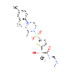 CC1CN(c2ccc(C#N)cc2C(F)(F)F)CCN1S(=O)(=O)c1ccc(C(O)(C(=O)N=CN(C)C)C(F)(F)F)s1